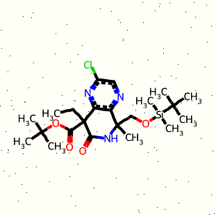 CCC1(C(=O)OC(C)(C)C)C(=O)NC(C)(CO[Si](C)(C)C(C)(C)C)c2ncc(Cl)nc21